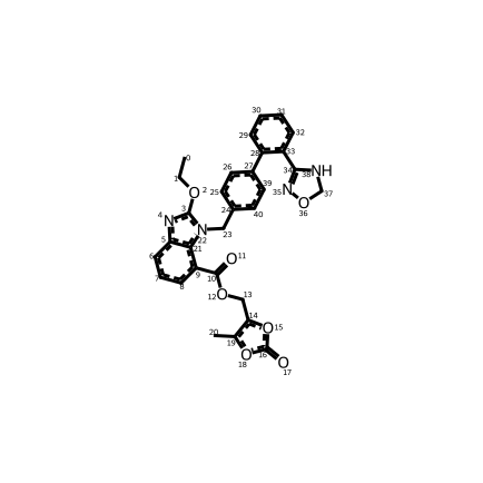 CCOc1nc2cccc(C(=O)OCc3oc(=O)oc3C)c2n1Cc1ccc(-c2ccccc2C2=NOCN2)cc1